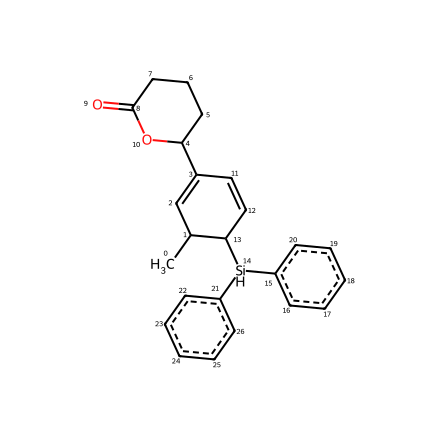 CC1C=C(C2CCCC(=O)O2)C=CC1[SiH](c1ccccc1)c1ccccc1